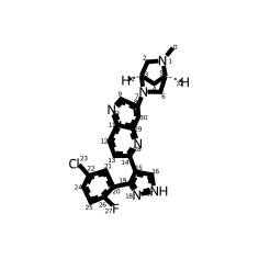 CN1C[C@H]2C[C@@H]1CN2c1cnc2ccc(-c3c[nH]nc3-c3cc(Cl)ccc3F)nc2c1